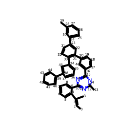 C/C=C(\C)c1ccccc1-c1nc(C)nc(-c2cccc(-c3cc(-c4cccc(C)c4)ccc3-c3cccc(-c4ccccc4)c3)c2)n1